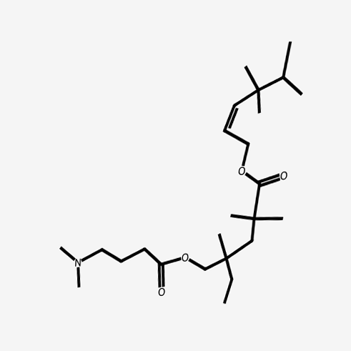 CCC(C)(COC(=O)CCCN(C)C)CC(C)(C)C(=O)OC/C=C\C(C)(C)C(C)C